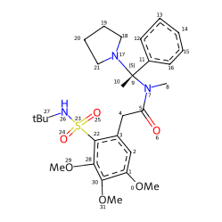 COc1cc(CC(=O)N(C)[C@@](C)(c2ccccc2)N2CCCC2)c(S(=O)(=O)NC(C)(C)C)c(OC)c1OC